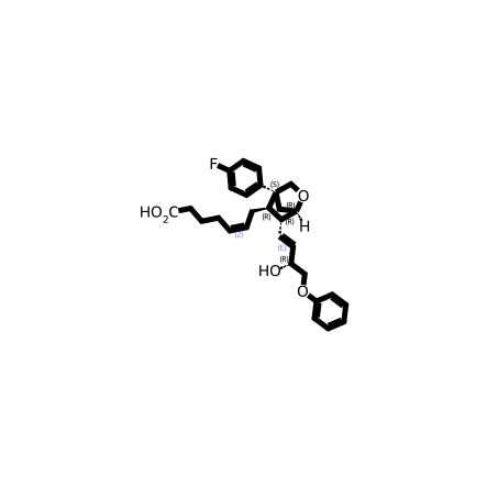 O=C(O)CCC/C=C\C[C@@H]1[C@@H](/C=C/[C@@H](O)COc2ccccc2)[C@H]2C[C@]1(c1ccc(F)cc1)CO2